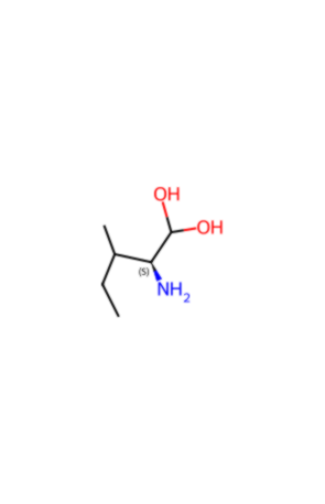 CCC(C)[C@H](N)C(O)O